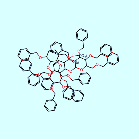 CC(C)(C)C(CC1C=CC(OCc2ccccc2)C(OCc2ccccc2)C1OC1OC(COCc2ccccc2)C(OCc2ccccc2)C(OCc2ccccc2)C1OCc1ccccc1)(OC(=O)O)C1C=CC(OCc2ccccc2)C(OCc2ccccc2)C1OC1OC(COCc2ccccc2)C(OCc2ccccc2)C(OCc2ccccc2)C1OCc1ccccc1